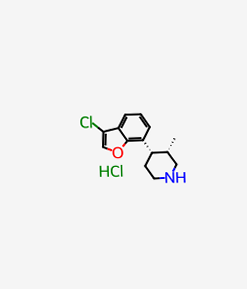 C[C@@H]1CNCC[C@@H]1c1cccc2c(Cl)coc12.Cl